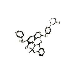 CC1(C)Cc2ccccc2C(=O)C1n1c(=O)c(Nc2cccnc2)cc2cnc(Nc3ccc(C4CNCCS4)cc3)nc21